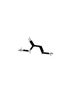 CCCC=CC(=O)OCCCC